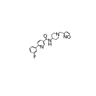 O=C(NC1CCN(Cc2ccon2)CC1)c1ccc(-c2cccc(F)c2)nc1